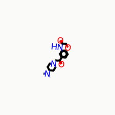 CN(C)C1CCN(CC(=O)c2ccc3c(c2)NC(=O)CO3)CC1